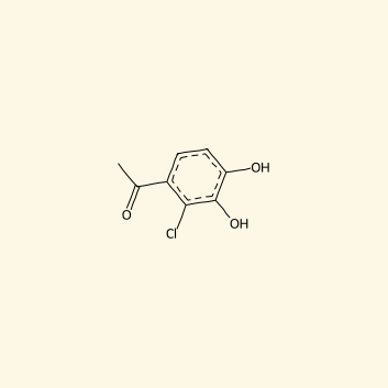 CC(=O)c1ccc(O)c(O)c1Cl